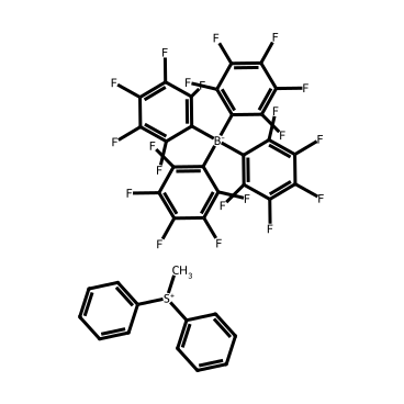 C[S+](c1ccccc1)c1ccccc1.Fc1c(F)c(F)c([B-](c2c(F)c(F)c(F)c(F)c2F)(c2c(F)c(F)c(F)c(F)c2F)c2c(F)c(F)c(F)c(F)c2F)c(F)c1F